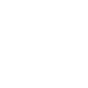 CCC(=O)OC1(CC)CC(c2c(C)cccc2C)=CC(C)=C1F